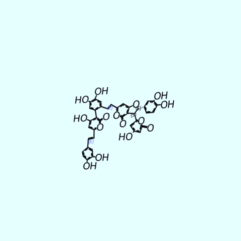 O=c1cc(O)cc([C@H]2c3c(cc(/C=C/c4cc(O)c(O)cc4-c4c(O)cc(/C=C/c5ccc(O)c(O)c5)oc4=O)oc3=O)O[C@@H]2c2ccc(O)c(O)c2)o1